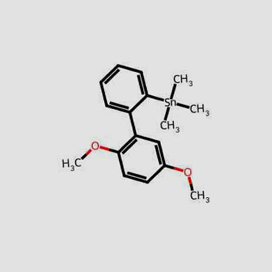 COc1ccc(OC)c(-c2cccc[c]2[Sn]([CH3])([CH3])[CH3])c1